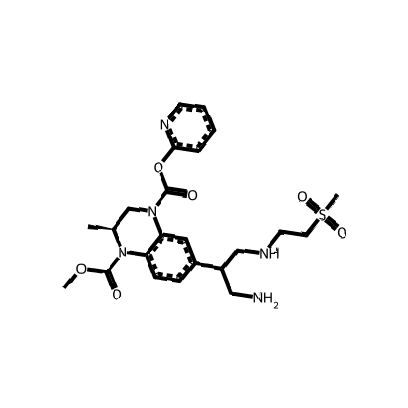 COC(=O)N1c2ccc(C(CN)CNCCS(C)(=O)=O)cc2N(C(=O)Oc2ccccn2)C[C@@H]1C